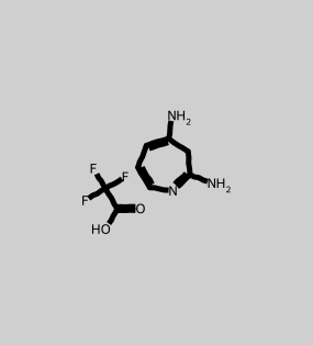 NC1=CC=CN=C(N)C1.O=C(O)C(F)(F)F